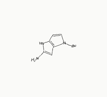 CC(C)(C)n1ccc2[nH]c(N)cc21